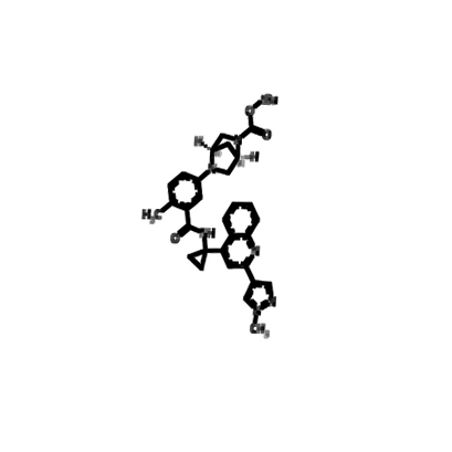 Cc1ccc(N2C[C@H]3C[C@@H]2CN3C(=O)OC(C)(C)C)cc1C(=O)NC1(c2cc(-c3cnn(C)c3)nc3ccccc23)CC1